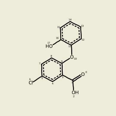 O=C(O)c1cc(Cl)ccc1Oc1ccccc1O